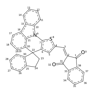 O=C1C(=Cc2cc3c(s2)-n2c4ccccc4c4cccc(c42)C32CCc3ccccc32)C(=O)c2ccccc21